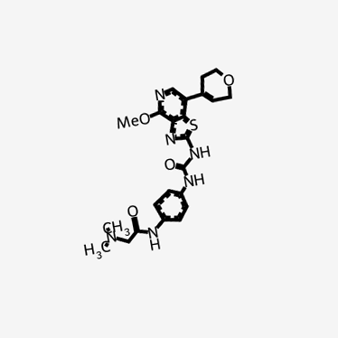 COc1ncc(C2=CCOCC2)c2sc(NC(=O)Nc3ccc(NC(=O)CN(C)C)cc3)nc12